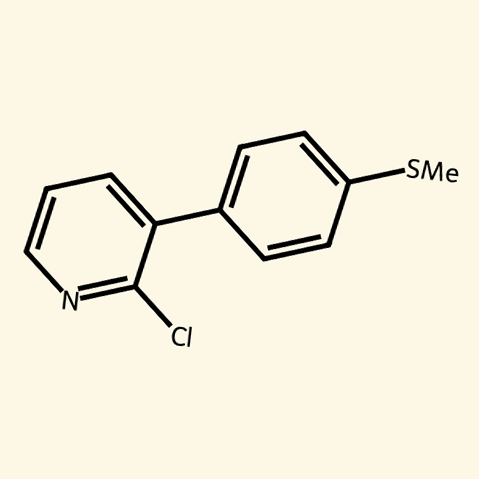 CSc1ccc(-c2cccnc2Cl)cc1